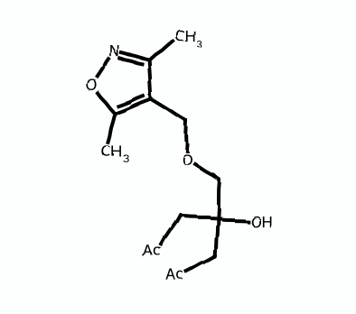 CC(=O)CC(O)(COCc1c(C)noc1C)CC(C)=O